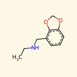 CCNCc1cccc2c1OCO2